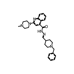 CN1CCN(c2cc(C(=O)NN=CC3CCN(Cc4ccccc4)CC3)c3ccccc3n2)CC1